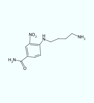 NCCCCNc1ccc(C(N)=O)cc1[N+](=O)[O-]